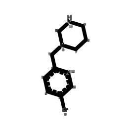 Brc1ccc(CN2CCCNC2)nc1